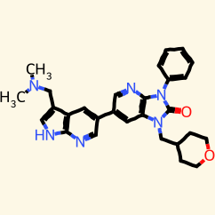 CN(C)Cc1c[nH]c2ncc(-c3cnc4c(c3)n(CC3CCOCC3)c(=O)n4-c3ccccc3)cc12